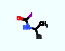 CCC(C)NC(=O)I